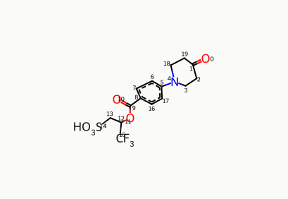 O=C1CCN(c2ccc(C(=O)OC(CS(=O)(=O)O)C(F)(F)F)cc2)CC1